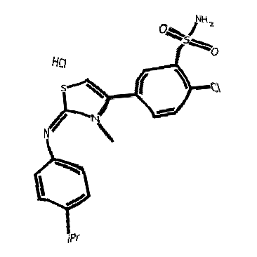 CC(C)c1ccc(/N=c2/scc(-c3ccc(Cl)c(S(N)(=O)=O)c3)n2C)cc1.Cl